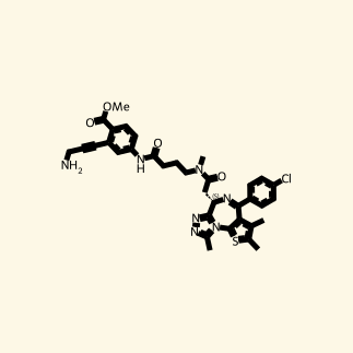 COC(=O)c1ccc(NC(=O)CCCN(C)C(=O)C[C@@H]2N=C(c3ccc(Cl)cc3)c3c(sc(C)c3C)-n3c(C)nnc32)cc1C#CCN